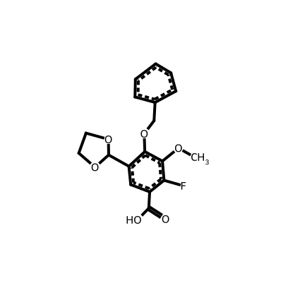 COc1c(F)c(C(=O)O)cc(C2OCCO2)c1OCc1ccccc1